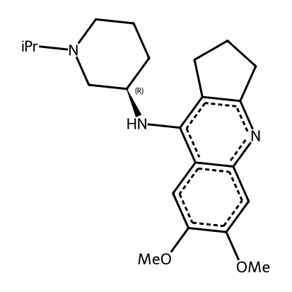 COc1cc2nc3c(c(N[C@@H]4CCCN(C(C)C)C4)c2cc1OC)CCC3